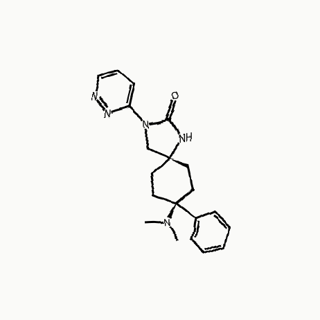 CN(C)[C@]1(c2ccccc2)CC[C@@]2(CC1)CN(c1cccnn1)C(=O)N2